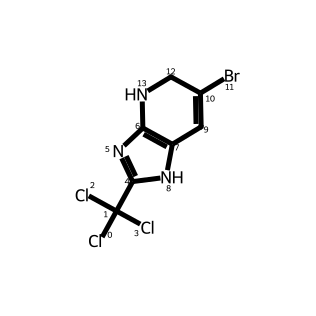 ClC(Cl)(Cl)c1nc2c([nH]1)C=C(Br)CN2